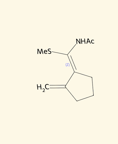 C=C1CCC/C1=C(\NC(C)=O)SC